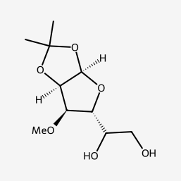 CO[C@H]1[C@H]2OC(C)(C)O[C@H]2O[C@@H]1C(O)CO